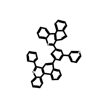 c1ccc(-c2nc3ccccc3c3c2cc(-c2cc(-c4cccnc4)cc(-c4nc5ccccc5c5c4ccc4ccccc45)c2)c2ccccc23)cc1